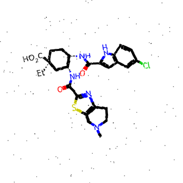 CC[C@]1(C(=O)O)CC[C@H](NC(=O)c2cc3cc(Cl)ccc3[nH]2)[C@H](NC(=O)c2nc3c(s2)CN(C)CC3)C1